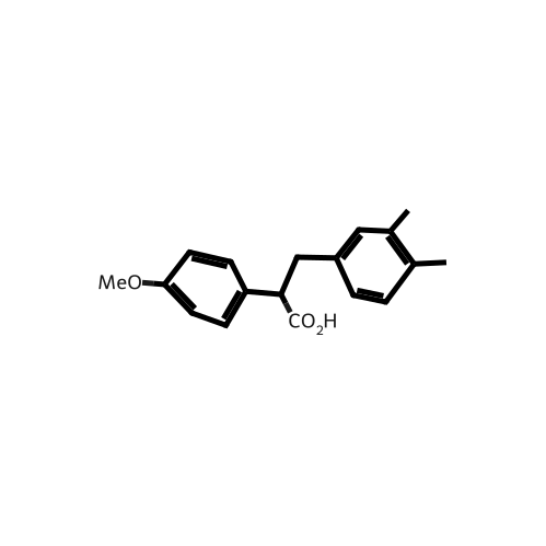 COc1ccc(C(Cc2ccc(C)c(C)c2)C(=O)O)cc1